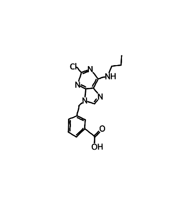 CCCNc1nc(Cl)nc2c1ncn2Cc1cccc(C(=O)O)c1